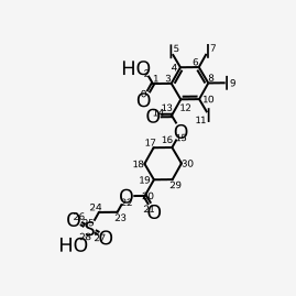 O=C(O)c1c(I)c(I)c(I)c(I)c1C(=O)OC1CCC(C(=O)OCCS(=O)(=O)O)CC1